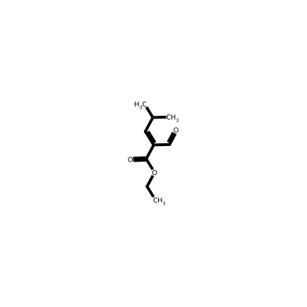 CCOC(=O)C(C=O)=CC(C)C